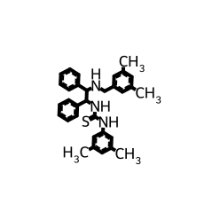 Cc1cc(C)cc(CNC(c2ccccc2)C(NC(=S)Nc2cc(C)cc(C)c2)c2ccccc2)c1